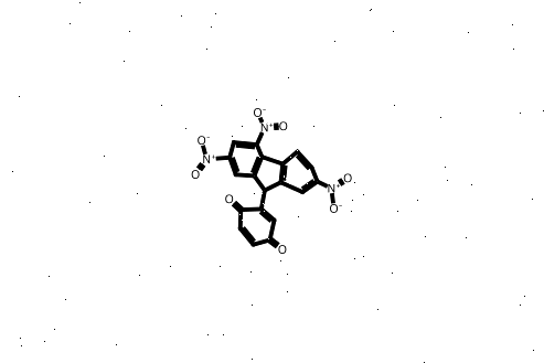 O=C1C=CC(=O)C(C2c3cc([N+](=O)[O-])ccc3-c3c2cc([N+](=O)[O-])cc3[N+](=O)[O-])=C1